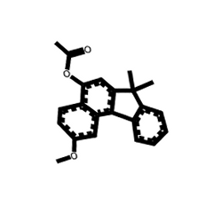 COc1ccc2c(OC(C)=O)cc3c(c2c1)-c1ccccc1C3(C)C